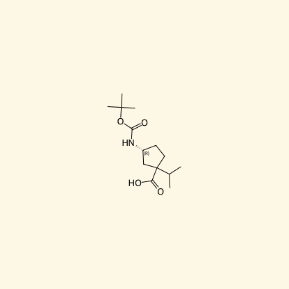 CC(C)C1(C(=O)O)CC[C@@H](NC(=O)OC(C)(C)C)C1